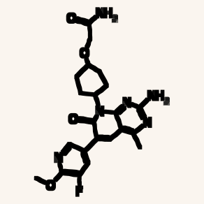 COc1ncc(-c2cc3c(C)nc(N)nc3n(C3CCC(OCC(N)=O)CC3)c2=O)cc1F